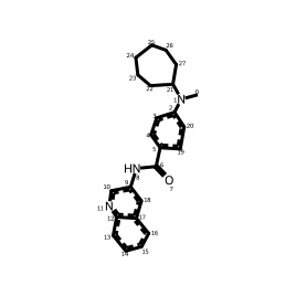 CN(c1ccc(C(=O)Nc2cnc3ccccc3c2)cc1)C1CCCCCC1